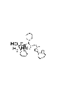 CC(CC1CN[C@H](C(=O)O)C1C1CCCCC1)OC1CCCCO1.NC1CCCCC1